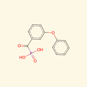 O=C(c1cccc(Oc2ccccc2)c1)P(=O)(O)O